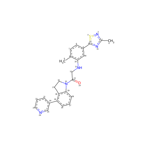 Cc1nsc(-c2ccc(C)c(NCC(=O)N3CCc4c(-c5cccnc5)cccc43)c2)n1